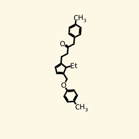 CCC1C(CCC(=O)Cc2ccc(C)cc2)=CC=C1COc1ccc(C)cc1